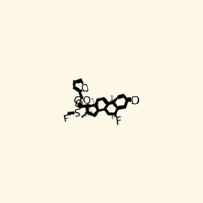 C[C@@H]1CC2C3C[C@H](F)C4=CC(=O)C=C[C@]4(C)C3=CC[C@]2(C)[C@@]1(OC(=O)c1ccco1)C(=O)SCF